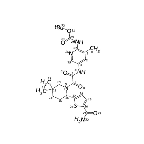 Cc1cc(NC(=O)C(=O)N2CC(C)(C)CC[C@H]2c2ccc(C(N)=O)s2)cnc1NC(=O)OC(C)(C)C